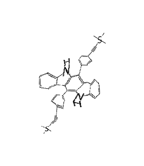 CS(C)(C)C#Cc1ccc(-c2c3[nH]c4ccccc4c3c(-c3ccc(C#CS(C)(C)C)cc3)c3[nH]c4ccccc4c23)cc1